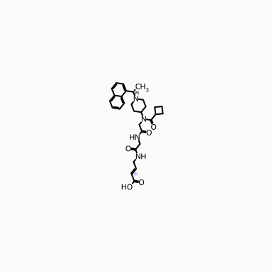 C[C@H](c1cccc2ccccc12)N1CCC(N(CC(=O)NCC(=O)NC/C=C/C(=O)O)C(=O)C2CCC2)CC1